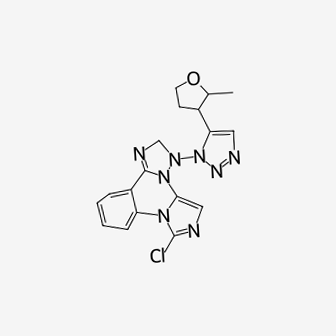 CC1OCCC1c1cnnn1N1CN=C2c3ccccc3-n3c(cnc3Cl)N21